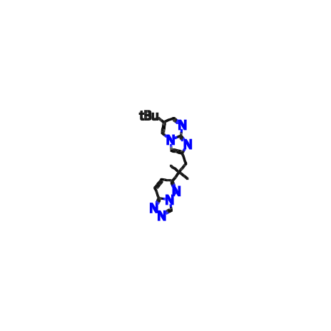 CC(C)(C)c1cnc2nc(CC(C)(C)c3ccc4nncn4n3)cn2c1